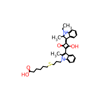 CC[N+]1=C(C)/C(=C2\C(=O)C(c3c(C)n(CCCSCCCCCC(=O)O)c4ccccc34)=C2O)c2ccccc21